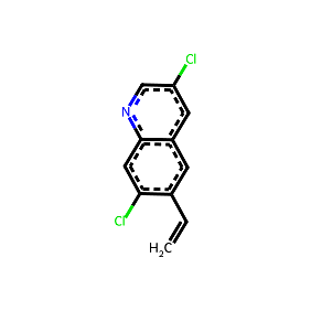 C=Cc1cc2cc(Cl)cnc2cc1Cl